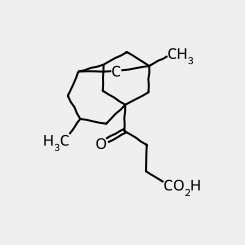 CC1CC2CC3(C)CC2CC(C(=O)CCC(=O)O)(C1)C3